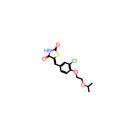 CC(C)OCCOc1ccc(/C=C2\SC(=O)NC2=O)cc1Cl